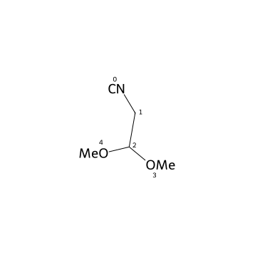 [C-]#[N+]CC(OC)OC